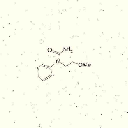 COCCN(C(N)=O)c1[c]cccc1